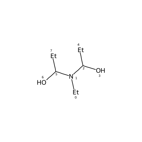 [CH2]CN(C(O)CC)C(O)CC